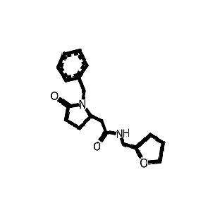 O=C(CC1CCC(=O)N1Cc1ccccc1)NCC1CCCO1